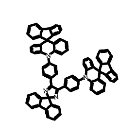 c1ccc2c(c1)-c1ccccc1C21N=C(c2ccc(N3c4ccccc4C4(c5ccccc5-c5ccccc54)c4ccccc43)cc2)C(c2ccc(N3c4ccccc4C4(c5ccccc5-c5ccccc54)c4ccccc43)cc2)=N1